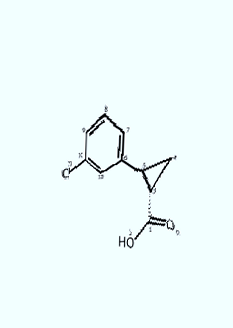 O=C(O)[C@H]1CC1c1cccc(Cl)c1